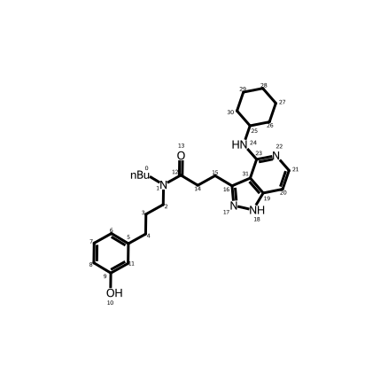 CCCCN(CCCc1cccc(O)c1)C(=O)CCc1n[nH]c2ccnc(NC3CCCCC3)c12